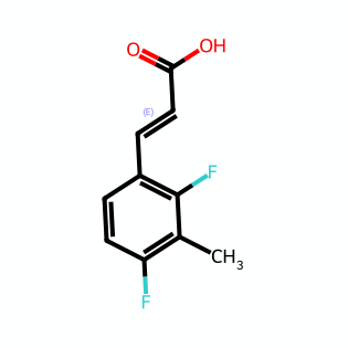 Cc1c(F)ccc(/C=C/C(=O)O)c1F